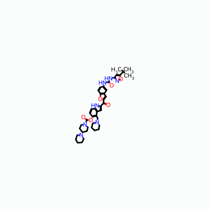 CC(C)(C)c1cc(NC(=O)Nc2ccc3oc(C(=O)c4cc5c(CN6CCCCC6)c(OC(=O)N6CCC(N7CCCCC7)CC6)ccc5[nH]4)cc3c2)no1